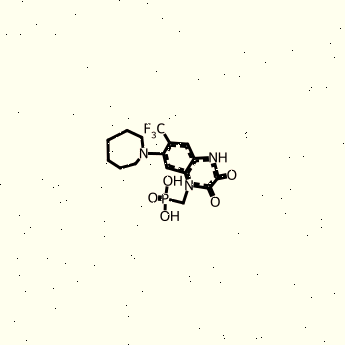 O=c1[nH]c2cc(C(F)(F)F)c(N3CCCCCC3)cc2n(CP(=O)(O)O)c1=O